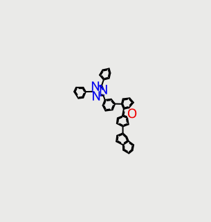 c1ccc(-c2nc(-c3ccccc3)nc(-c3cccc(-c4cccc5oc6cc(-c7ccc8ccccc8c7)ccc6c45)c3)n2)cc1